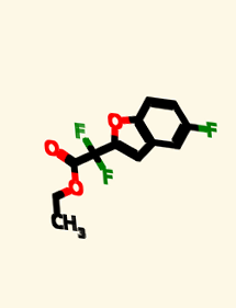 CCOC(=O)C(F)(F)c1cc2cc(F)ccc2o1